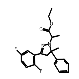 CCOC(=O)C(C)N1N=C(c2cc(F)ccc2F)CC1(C)c1ccccc1